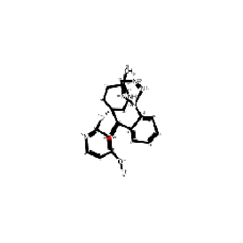 CCOc1ccnc(O[C@]2(C(=O)c3ccccc3-n3ncnn3)CC[C@@H](C)NC2)c1